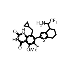 COc1c(F)c(-c2cc3c(s2)CCCC3C(N)C(F)(F)F)c(CC2CC2)c2[nH]c(=O)[nH]c(=O)c12